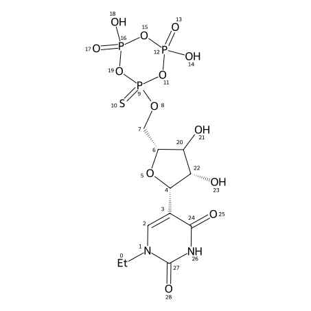 CCn1cc([C@@H]2O[C@H](COP3(=S)OP(=O)(O)OP(=O)(O)O3)C(O)[C@@H]2O)c(=O)[nH]c1=O